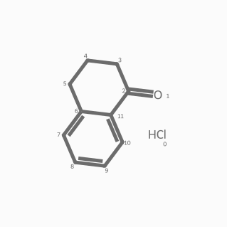 Cl.O=C1CCCc2ccccc21